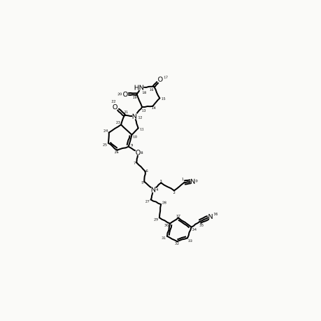 N#CCCN(CCCOC1=C2CN(C3CCC(=O)NC3=O)C(=O)C2CC=C1)CCCc1cccc(C#N)c1